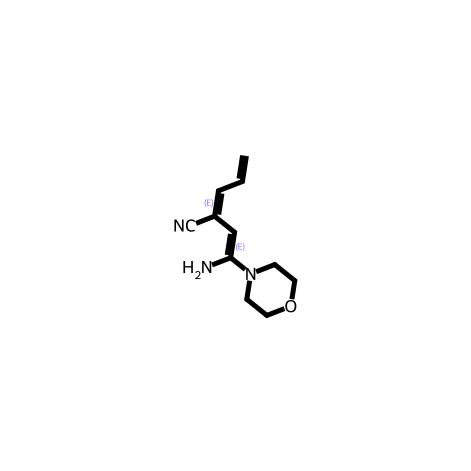 C=C/C=C(C#N)\C=C(/N)N1CCOCC1